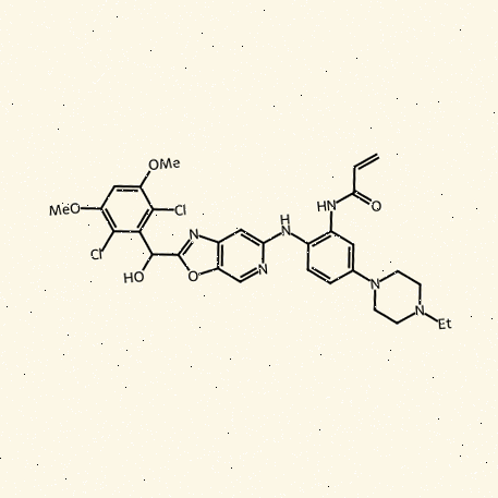 C=CC(=O)Nc1cc(N2CCN(CC)CC2)ccc1Nc1cc2nc(C(O)c3c(Cl)c(OC)cc(OC)c3Cl)oc2cn1